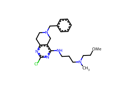 COCCN(C)CCCNc1nc(Cl)nc2c1CN(Cc1ccccc1)CC2